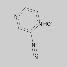 N#[N+]c1cnccn1.[OH-]